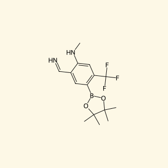 CNc1cc(C(F)(F)F)c(B2OC(C)(C)C(C)(C)O2)cc1C=N